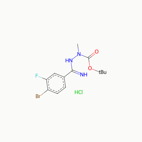 CN(NC(=N)c1ccc(Br)c(F)c1)C(=O)OC(C)(C)C.Cl